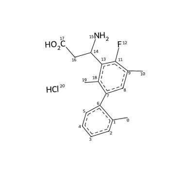 Cc1ccccc1-c1cc(C)c(F)c(C(N)CC(=O)O)c1C.Cl